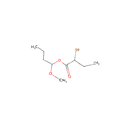 CCCC(OC)OC(=O)C(S)CC